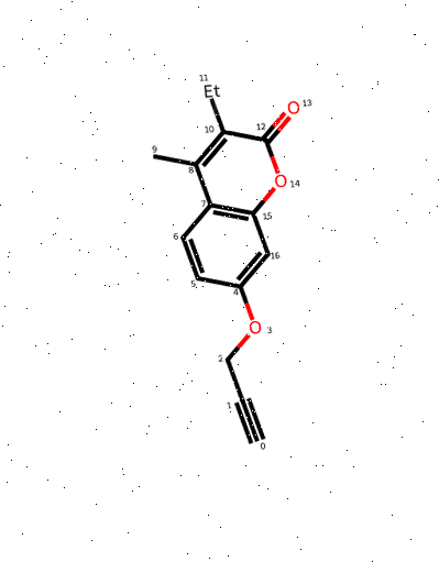 C#CCOc1ccc2c(C)c(CC)c(=O)oc2c1